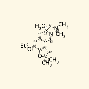 CCOc1cc2c(c3c1OC(C)(C)C3)C=NC(C)(CN(C)C)C2